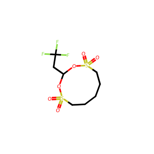 O=S1(=O)CCCCCS(=O)(=O)OC(CC(F)(F)F)O1